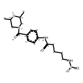 CC[S+]([O-])NCCCCC(=O)Nc1ccc(C(=O)N2CC(C)OC(C)C2)cc1